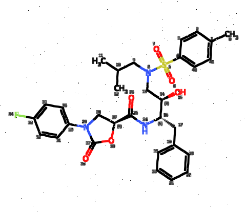 Cc1ccc(S(=O)(=O)N(CC(C)C)C[C@@H](O)[C@H](Cc2ccccc2)NC(=O)[C@@H]2CN(c3ccc(F)cc3)C(=O)O2)cc1